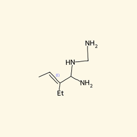 C/C=C(\CC)C(N)NCN